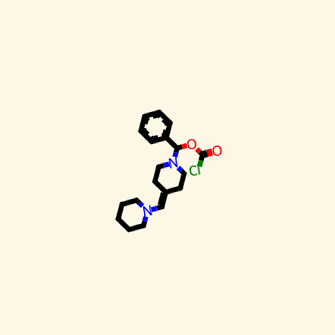 O=C(Cl)OC(c1ccccc1)N1CCC(=CN2CCCCC2)CC1